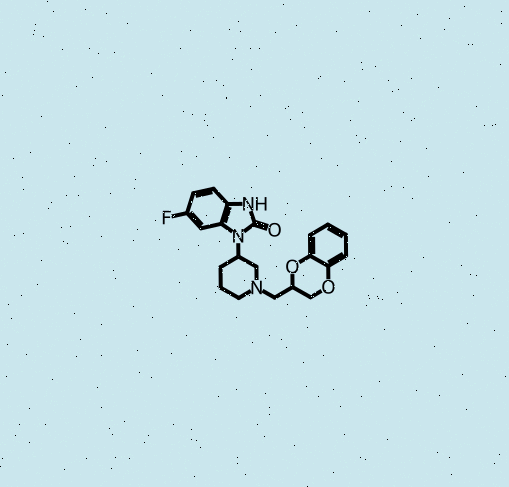 O=c1[nH]c2ccc(F)cc2n1C1CCCN(CC2COc3ccccc3O2)C1